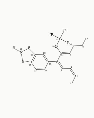 C\C=C/C=C(\C(=C\CCC)OC(F)(F)F)c1ccc2c(c1)CN(C)C2